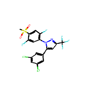 CS(=O)(=O)c1cc(F)c(-n2nc(C(F)(F)F)cc2-c2cc(Cl)cc(Cl)c2)cc1F